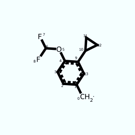 [CH2]c1ccc(OC(F)F)c(C2CC2)c1